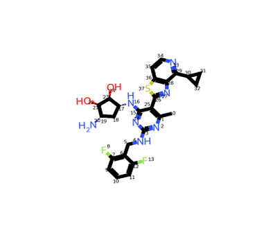 Cc1nc(NCc2c(F)cccc2F)nc(N[C@@H]2C[C@H](N)[C@@H](O)[C@H]2O)c1-c1nc2c(C3CC3)nccc2s1